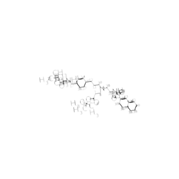 CC(C)(C)OC(=O)CCN(CCCc1ccc(CNC(=O)OC(C)(C)C)cc1)CCNS(=O)(=O)c1ccc2ccccc2c1